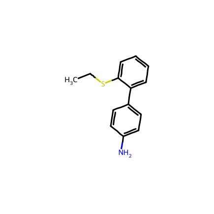 CCSc1ccccc1-c1ccc(N)cc1